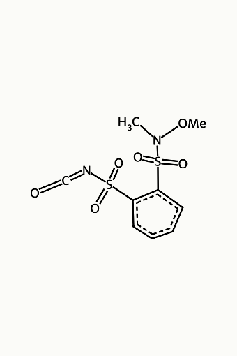 CON(C)S(=O)(=O)c1ccccc1S(=O)(=O)N=C=O